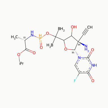 BC(B)(O[PH](=O)N[C@@H](C)C(=O)OC(C)C)C1O[C@@H](n2cc(F)c(=O)[nH]c2=O)[C@@](N)(C#C)C1O